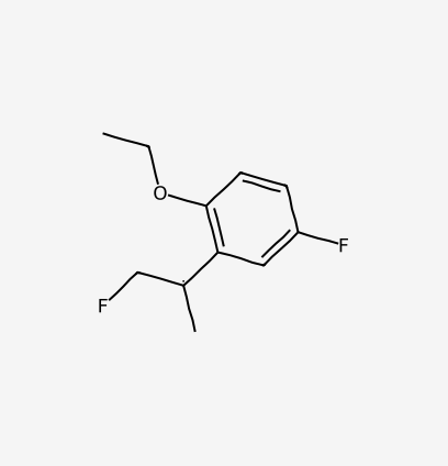 CCOc1ccc(F)cc1[C](C)CF